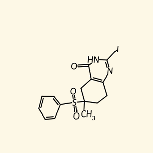 CC1(S(=O)(=O)c2ccccc2)CCc2nc(I)[nH]c(=O)c2C1